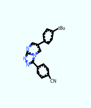 CC(C)(C)c1ccc(-c2cnc3nnc(-c4ccc(C#N)cc4)n3c2)cc1